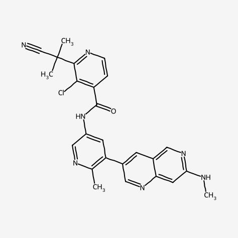 CNc1cc2ncc(-c3cc(NC(=O)c4ccnc(C(C)(C)C#N)c4Cl)cnc3C)cc2cn1